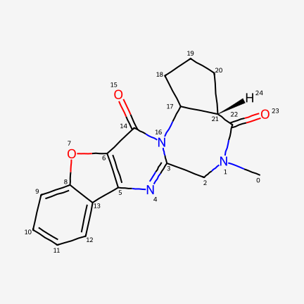 CN1Cc2nc3c(oc4ccccc43)c(=O)n2C2CCC[C@@H]2C1=O